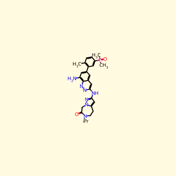 Cc1ccc(P(C)(C)=O)cc1-c1cc(N)c2nnc(Nc3cc4n(n3)CC(=O)N(C(C)C)CC4)cc2c1